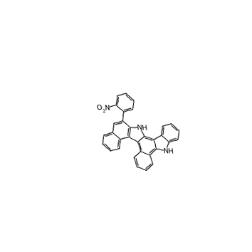 O=[N+]([O-])c1ccccc1-c1cc2ccccc2c2c1[nH]c1c3c4ccccc4[nH]c3c3ccccc3c12